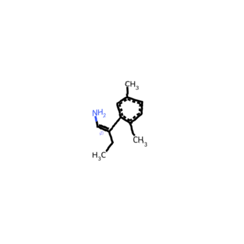 CC/C(=C/N)c1cc(C)ccc1C